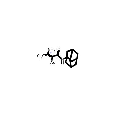 CC(=O)/C(C(=O)NC12CC3CC(CC(C3)C1)C2)=C(/N)C(Cl)(Cl)Cl